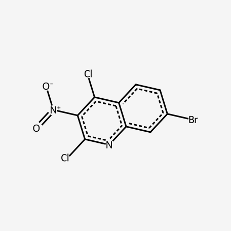 O=[N+]([O-])c1c(Cl)nc2cc(Br)ccc2c1Cl